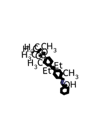 CCC(CC)(c1ccc(/C=C/C2(O)CCCCC2)c(C)c1)c1ccc(B2OC(C)(C)C(C)(C)O2)c(C)c1